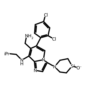 CC(C)CNc1c(CN)c(-c2ccc(Cl)cc2Cl)cn2c(N3CC[S+]([O-])CC3)cnc12